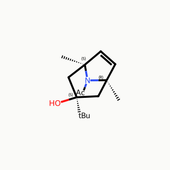 CC(=O)N1[C@@]2(C)C=C[C@]1(C)C[C@@](O)(C(C)(C)C)C2